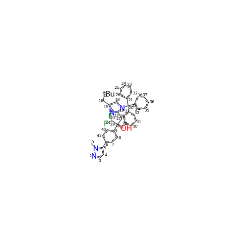 Cn1nccc1-c1ccc(C(O)(Cc2nc(CC(C)(C)C)cn2C(c2ccccc2)(c2ccccc2)c2ccccc2)C(F)F)cc1